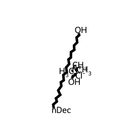 CCCCCCCCCCCCCCCCCCCCCCCCCCCCCCO.C[N+](C)(C)CCO.[Cl-]